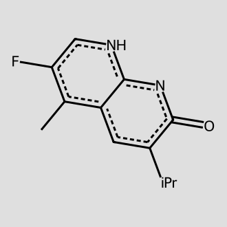 Cc1c(F)c[nH]c2nc(=O)c(C(C)C)cc1-2